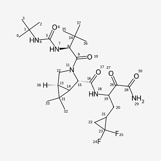 CC(C)(C)NC(=O)N[C@H](C(=O)N1C[C@H]2C([C@H]1C(=O)NC(CC1CC1(F)F)C(=O)C(N)=O)C2(C)C)C(C)(C)C